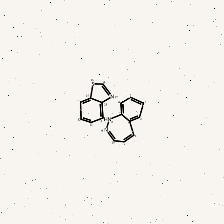 C1=Cc2ccccc2NN=C1.c1ccc2scnc2c1